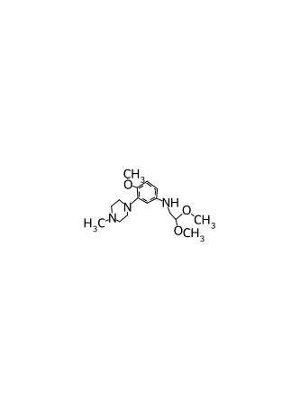 COc1ccc(NCC(OC)OC)cc1N1CCN(C)CC1